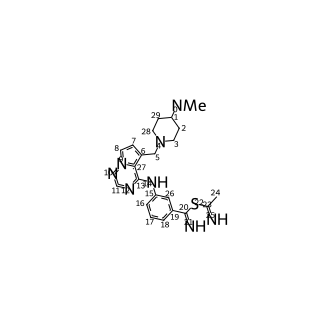 CNC1CCN(Cc2ccn3ncnc(Nc4cccc(C(=N)SC(C)=N)c4)c23)CC1